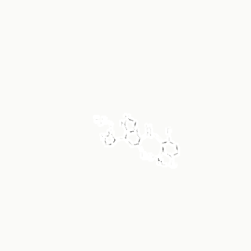 Fc1ccc2c3c1CNc1c(cc(-c4ccnn4CC(F)(F)F)c4nncn14)OC[C@H]3CO2